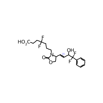 O=C(O)CCC(F)(F)CCCN1C(=O)OCC1/C=C/C(O)C(F)(F)c1ccccc1